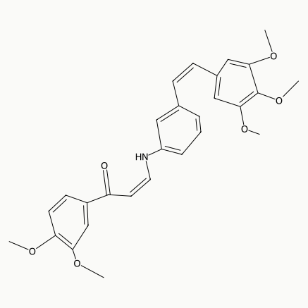 COc1ccc(C(=O)/C=C\Nc2cccc(/C=C\c3cc(OC)c(OC)c(OC)c3)c2)cc1OC